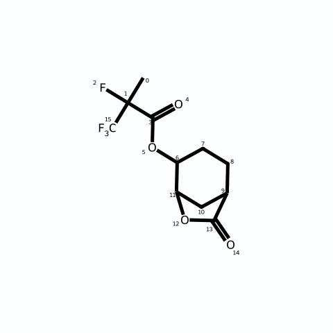 CC(F)(C(=O)OC1CCC2CC1OC2=O)C(F)(F)F